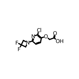 O=C(O)COc1ccc(N2CC(F)(F)C2)nc1Cl